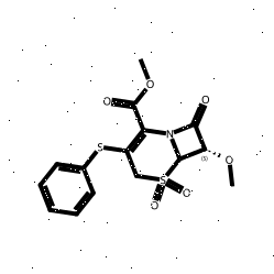 COC(=O)C1=C(Sc2ccccc2)CS(=O)(=O)C2[C@@H](OC)C(=O)N12